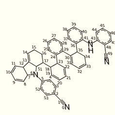 N#Cc1ccc(N2C3C=CC=CC3C3=CCCC(C4C=CC=CC4c4ccccc4C4=CC=CCC4c4ccccc4Nc4ccccc4C#N)C32)cc1